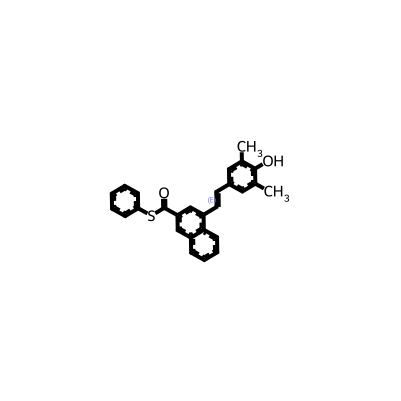 Cc1cc(/C=C/c2cc(C(=O)Sc3ccccc3)cc3ccccc23)cc(C)c1O